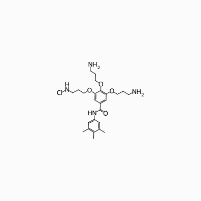 Cc1cc(NC(=O)c2cc(OCCCN)c(OCCCN)c(OCCCNCl)c2)cc(C)c1C